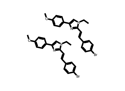 CCn1cc(-c2ccc(OC)cc2)nc1C=Cc1ccc(Br)cc1.CCn1cc(-c2ccc(OC)cc2)nc1C=Cc1ccc(Br)cc1